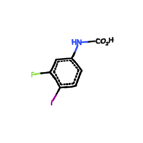 O=C(O)Nc1ccc(I)c(F)c1